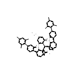 Cc1cc(C)c(-c2ccc3c4ccccc4n(-c4cc(C#N)cc(-n5c6ccccc6c6ccc(-c7c(C)cc(C)cc7C)cc65)c4-c4cc(C)nc(C)c4)c3c2)c(C)c1